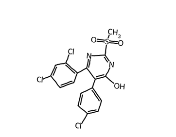 CS(=O)(=O)c1nc(O)c(-c2ccc(Cl)cc2)c(-c2ccc(Cl)cc2Cl)n1